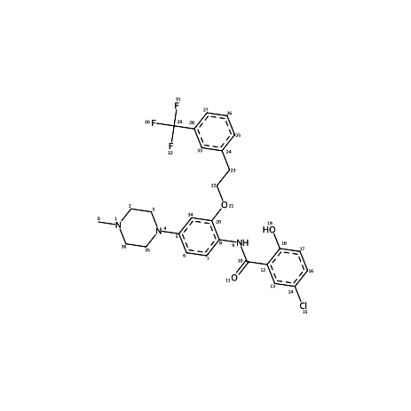 CN1CCN(c2ccc(NC(=O)c3cc(Cl)ccc3O)c(OCCc3cccc(C(F)(F)F)c3)c2)CC1